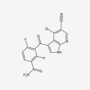 N#Cc1cnc2[nH]cc(C(=O)c3c(F)ccc(C(N)=O)c3F)c2c1Cl